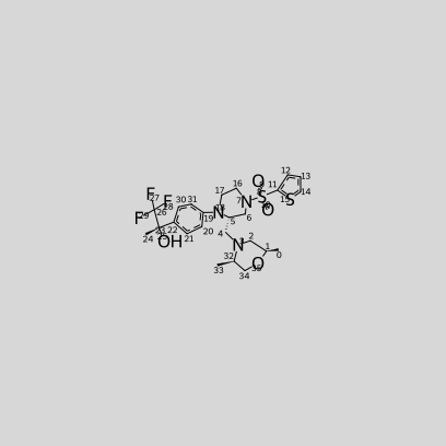 C[C@@H]1CN(C[C@H]2CN(S(=O)(=O)c3cccs3)CCN2c2ccc([C@](C)(O)C(F)(F)F)cc2)[C@H](C)CO1